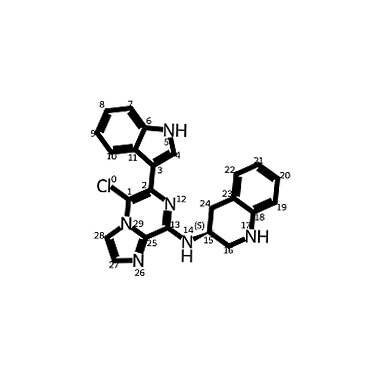 Clc1c(-c2c[nH]c3ccccc23)nc(N[C@@H]2CNc3ccccc3C2)c2nccn12